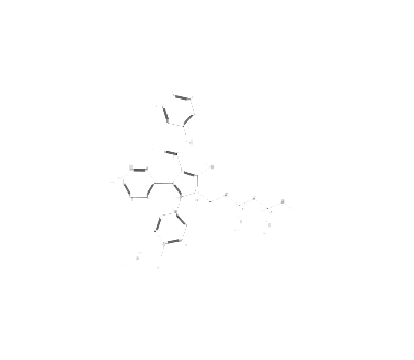 CC(C)c1c(C(=O)Nc2ccccc2)c(-c2ccc(F)cc2)c(-c2ccc(F)cc2)n1CC[C@@H](O)C[C@@H](O)CC(=O)O.[CaH2]